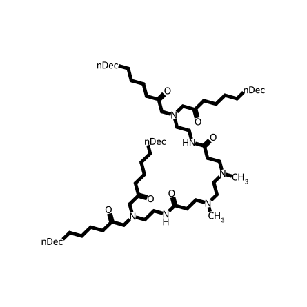 CCCCCCCCCCCCCCC(=O)CN(CCNC(=O)CCN(C)CCN(C)CCC(=O)NCCN(CC(=O)CCCCCCCCCCCCCC)CC(=O)CCCCCCCCCCCCCC)CC(=O)CCCCCCCCCCCCCC